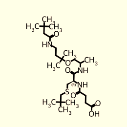 CC(COC(C)(C)CCNC(=O)CC(C)(C)C)NC(=O)[C@H](CSCC(C)(C)C)NC(=O)CCC(=O)O